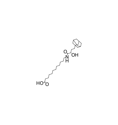 O=C(O)CCCCCCCCCCCNC(=O)C(O)CCC12CC3CC(CC(C3)C1)C2